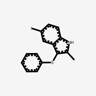 Cc1[nH]c2ccc(I)cc2c1Sc1ccccc1